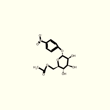 CC(=O)OC[C@H]1O[C@H](Oc2ccc([N+](=O)[O-])cc2)[C@@H](O)[C@@H](O)[C@@H]1O